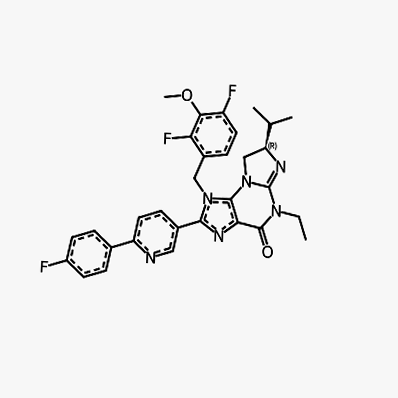 CCN1C(=O)c2nc(-c3ccc(-c4ccc(F)cc4)nc3)n(Cc3ccc(F)c(OC)c3F)c2N2C[C@@H](C(C)C)N=C12